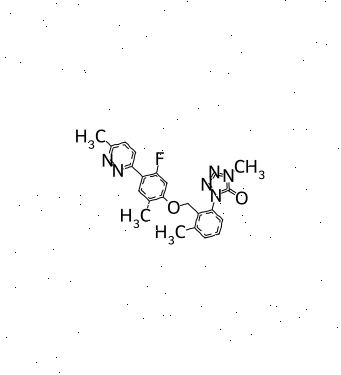 Cc1ccc(-c2cc(C)c(OCc3c(C)cccc3-n3nnn(C)c3=O)cc2F)nn1